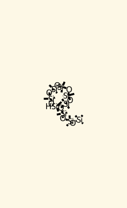 C[SiH](C)O[Si](C)(C)O[Si](C)(C)O[Si](C)(C)O[Si](C)(C)O[Si](C)(C)O[Si](C)(C)O[Si](C)(C)O[Si](C)(C)C